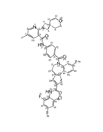 Cc1cnc(N2CC3(CCOCC3)C2)c(C(=O)Nc2ccc(C(=O)N3CCc4cc(C(=O)Nc5c(F)cc(F)cc5Cl)sc4-c4ccc(F)cc43)cc2)c1